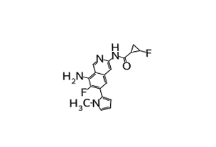 Cn1cccc1-c1cc2cc(NC(=O)C3CC3F)ncc2c(N)c1F